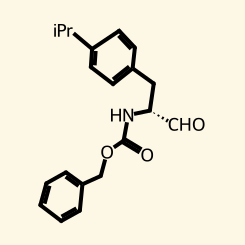 CC(C)c1ccc(C[C@H](C=O)NC(=O)OCc2ccccc2)cc1